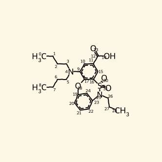 CCCCN(CCCC)c1cc(C(=O)O)cc2c1Oc1cccc(c1)N(CCC)S2(=O)=O